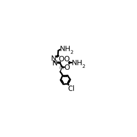 NCc1nnc([C@H](Cc2ccc(Cl)cc2)OC(N)=O)o1